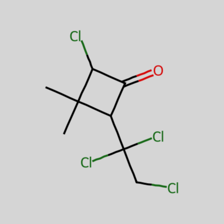 CC1(C)C(Cl)C(=O)C1C(Cl)(Cl)CCl